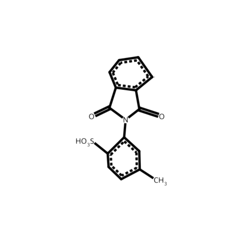 Cc1ccc(S(=O)(=O)O)c(N2C(=O)c3[c]cccc3C2=O)c1